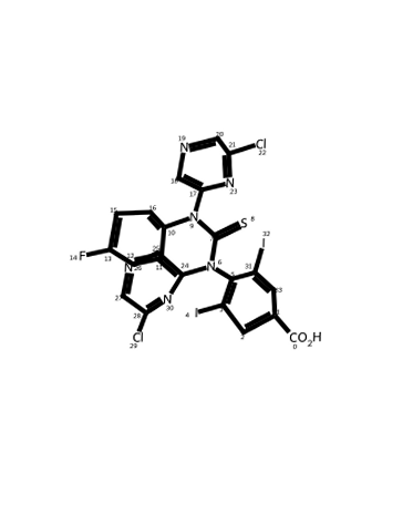 O=C(O)c1cc(I)c(N(C(=S)N(c2ccc(F)cc2)c2cncc(Cl)n2)c2cncc(Cl)n2)c(I)c1